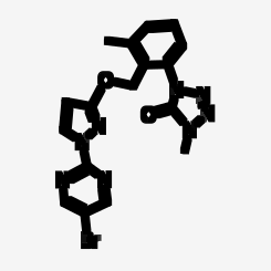 Cc1cccc(-n2nnn(C)c2=O)c1COc1ccn(-c2ncc(Br)cn2)n1